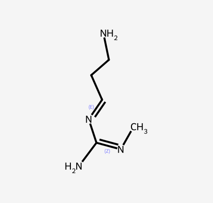 C/N=C(N)\N=C\CCN